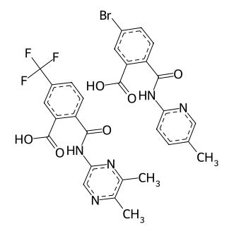 Cc1ccc(NC(=O)c2ccc(Br)cc2C(=O)O)nc1.Cc1ncc(NC(=O)c2ccc(C(F)(F)F)cc2C(=O)O)nc1C